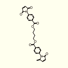 C=C1C=CC(=O)N1c1ccc(C(=O)OCCCCOC(=O)c2ccc(N3C(=O)C=CC3=O)cc2)cc1